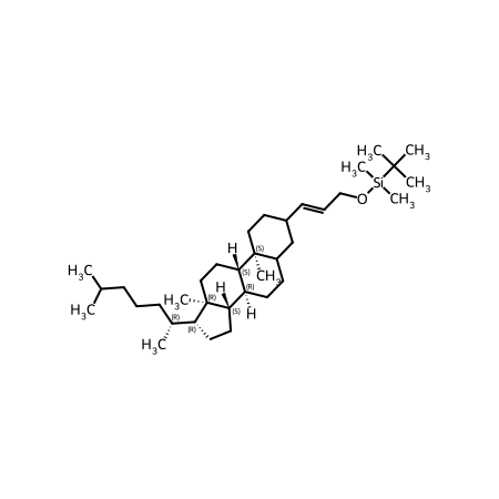 CC(C)CCC[C@@H](C)[C@H]1CC[C@H]2[C@@H]3CCC4CC(C=CCO[Si](C)(C)C(C)(C)C)CC[C@]4(C)[C@H]3CC[C@]12C